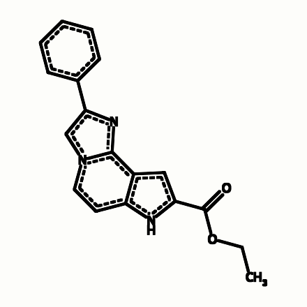 CCOC(=O)c1cc2c(ccn3cc(-c4ccccc4)nc23)[nH]1